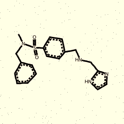 CN(Cc1ccccc1)S(=O)(=O)c1ccc(CNCc2ncc[nH]2)cc1